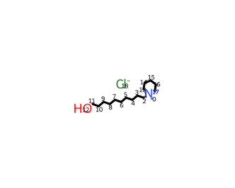 C[N+]1(CCCCCCCCCCO)CCCCC1.[Cl-]